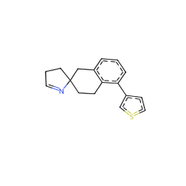 C1=NC2(CC1)CCc1c(cccc1-c1ccsc1)C2